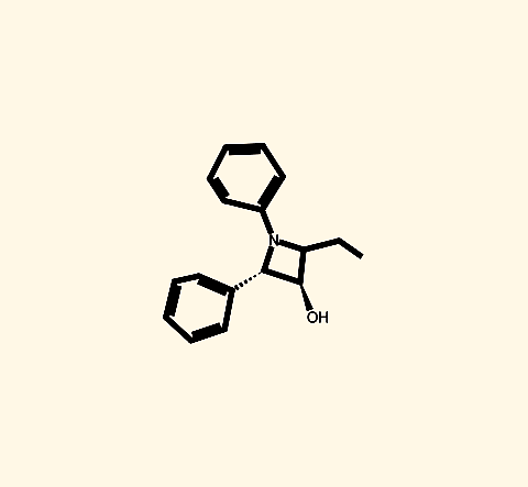 CCC1[C@@H](O)[C@H](c2ccccc2)N1c1ccccc1